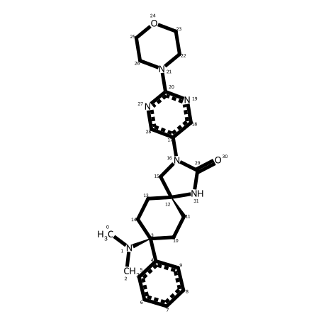 CN(C)[C@]1(c2ccccc2)CC[C@@]2(CC1)CN(c1cnc(N3CCOCC3)nc1)C(=O)N2